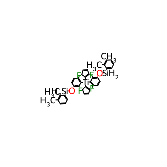 Cc1cccc([SiH2]Oc2ccc(F)[c]([Ti]([C]3=CC=CC3)([C]3=CC=CC3)[c]3c(F)ccc(O[SiH2]c4cccc(C)c4C)c3F)c2F)c1C